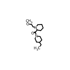 CCC1CCN(C(=O)C2CCCCN2CCOC)CC1